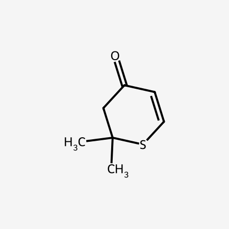 CC1(C)CC(=O)C=CS1